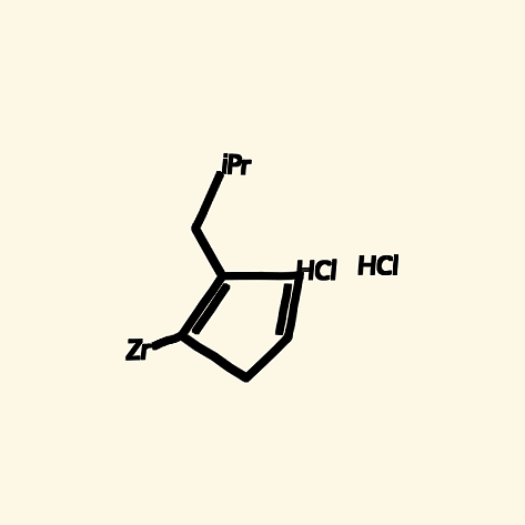 CC(C)CC1=[C]([Zr])CC=C1.Cl.Cl